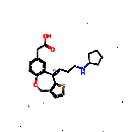 O=C(O)Cc1ccc2c(c1)/C(=C/CCNC1CCCC1)c1sccc1CO2